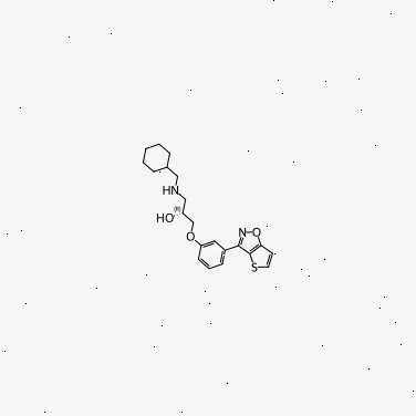 O[C@H](CNCC1CCCCC1)COc1cccc(-c2noc3ccsc23)c1